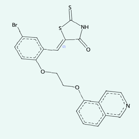 O=C1NC(=S)S/C1=C\c1cc(Br)ccc1OCCOc1cccc2cnccc12